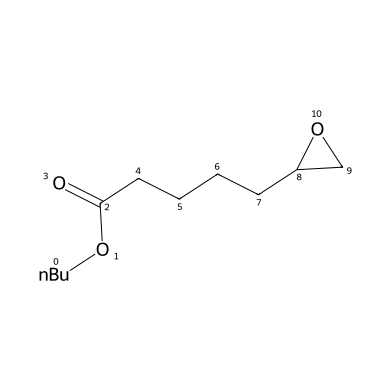 CCCCOC(=O)CCCCC1CO1